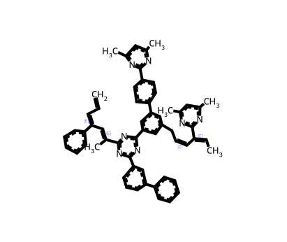 C=C/C=C(\C=C(/C)c1nc(-c2cccc(-c3ccccc3)c2)nc(-c2cc(C/C=C\C(=C/C)c3nc(C)cc(C)n3)cc(-c3ccc(-c4nc(C)cc(C)n4)cc3)c2)n1)c1ccccc1